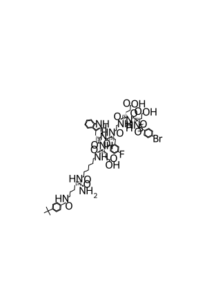 CC(C)(C)c1ccc(C(=O)NCCCC[C@H](NC(=O)CCCCCNC(=O)[C@H](CCC(=O)O)NC(=O)[C@H](Cc2c[nH]c3ccccc23)NC(=O)[C@H](Cc2cccc(F)c2)NC(=O)CNC(=O)[C@H](CCC(=O)O)NC(=O)[C@@H](CC(=O)O)NS(=O)(=O)c2ccc(Br)cc2)C(N)=O)cc1